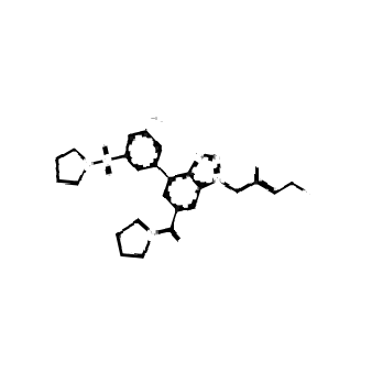 Cl.NC/C=C(\F)Cn1nnc2c(-c3cccc(S(=O)(=O)N4CCCC4)c3)cc(C(=O)N3CCCC3)cc21